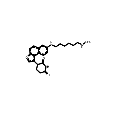 O=CNCCCCCCNc1ccc2c(ccc3occ(C4CCC(=O)NC4=O)c32)c1